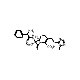 CO[C@@]1(NC(=O)C(N)c2ccccc2)C(=O)N2C(C(=O)O)=C(CSc3nnnn3C)CS[C@H]21